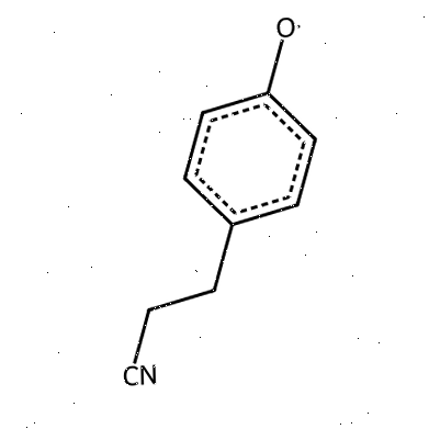 N#CCCc1ccc([O])cc1